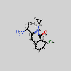 CC(N)c1cc2cccc(Cl)c2c(=O)n1C1CC1